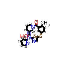 Cc1ccc(Sc2cnc(Nc3ccccn3)s2)cc1C(=O)N1CCCC(CO)C1